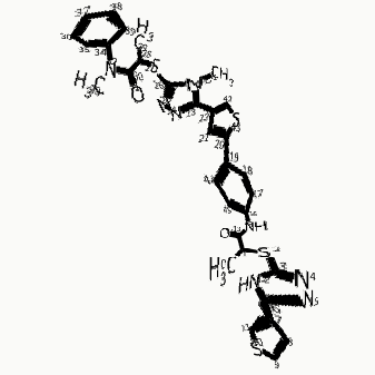 CC(Sc1nnc(-c2ccsc2)[nH]1)C(=O)Nc1ccc(-c2cc(-c3nnc(SC(C)C(=O)N(C)c4ccccc4)n3C)cs2)cc1